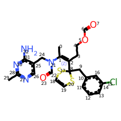 C/C(=C(\CCOC=O)C1(Cc2cccc(Cl)c2)SC=CS1)N(C=O)Cc1cnc(C)nc1N